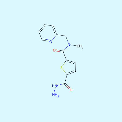 CN(Cc1ccccn1)C(=O)c1ccc(C(=O)NN)s1